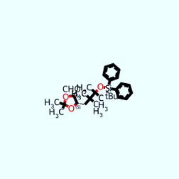 CC1(C)O[C@@H](CC(C)(C)C(C)(C)O[Si](c2ccccc2)(c2ccccc2)C(C)(C)C)[C@@H](C=O)O1